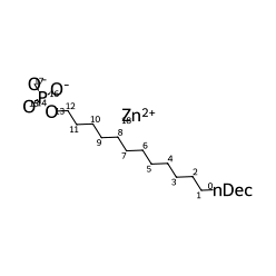 CCCCCCCCCCCCCCCCCCCCCCOP(=O)([O-])[O-].[Zn+2]